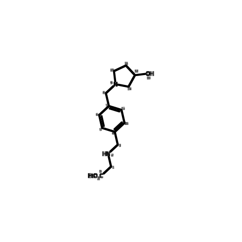 CCOC(=O)CNCc1ccc(CN2CCC(O)C2)cc1